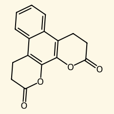 O=C1CCc2c(c3c(c4ccccc24)CCC(=O)O3)O1